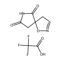 O=C(O)C(F)(F)F.O=C1CC2(CC=NO2)C(=O)N1